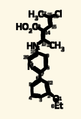 CCOc1cccc(-c2ccc(N/C(C)=C(/C=C(\C)Cl)C(=O)O)cn2)c1